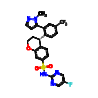 Cn1nccc1-c1cc(C(F)(F)F)ccc1[C@H]1CCOc2cc(S(=O)(=O)Nc3ncc(F)cn3)ccc21